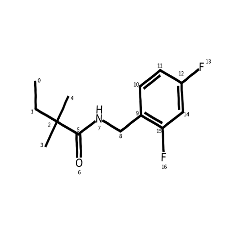 CCC(C)(C)C(=O)NCc1ccc(F)cc1F